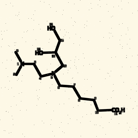 CN(C)CCN(CCCCCC(=O)O)CC(O)CO